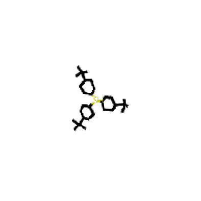 CC(C)(C)C1CCC([SH](C2CCC(C(C)(C)C)CC2)C2CCC(C(C)(C)C)CC2)CC1